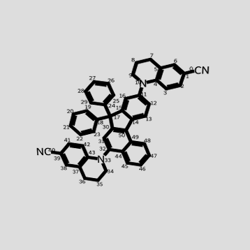 N#Cc1ccc2c(c1)CCCN2c1ccc2c(c1)C(c1ccccc1)(c1ccccc1)c1cc(N3CCCc4cc(C#N)ccc43)c3ccccc3c1-2